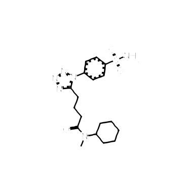 CN(C(=O)CCCc1nnnn1-c1ccc(S(N)(=O)=O)cc1)C1CCCCC1